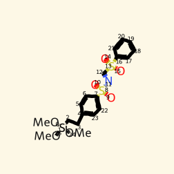 CO[Si](CCc1ccc(S(=O)(=O)N=CS(=O)(=O)c2ccccc2)cc1)(OC)OC